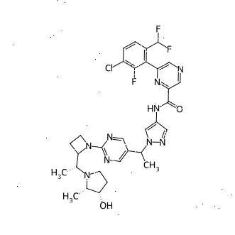 CC(c1cnc(N2CCC2[C@@H](C)N2CC[C@H](O)[C@@H]2C)nc1)n1cc(NC(=O)c2cncc(-c3c(C(F)F)ccc(Cl)c3F)n2)cn1